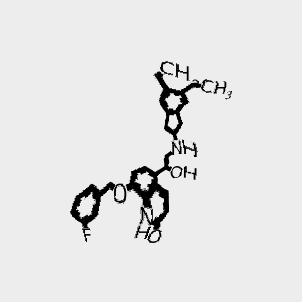 CCc1cc2c(cc1CC)CC(NCC(O)c1ccc(OCc3cccc(F)c3)c3[nH]c(=O)ccc13)C2